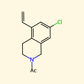 C=Cc1cc(Cl)cc2c1CCN(C(C)=O)C2